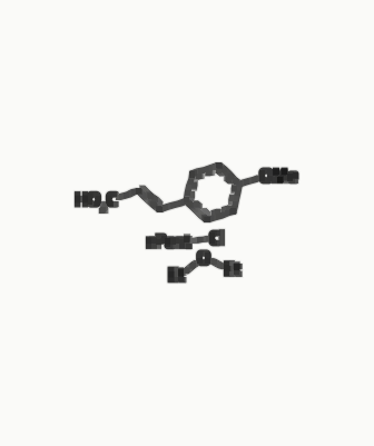 CCCCCCl.CCOCC.COc1ccc(C=CC(=O)O)cc1